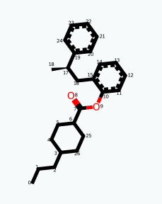 CCCC1CCC(C(=O)Oc2ccccc2C[C@@H](C)c2ccccc2)CC1